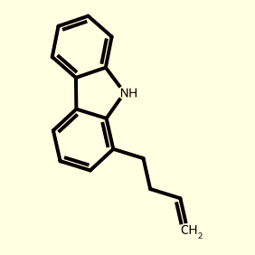 C=CCCc1cccc2c1[nH]c1ccccc12